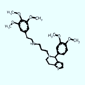 COc1ccc(C2c3ccsc3CCN2CCCNCCc2cc(OC)c(OC)c(OC)c2)cc1OC